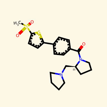 CS(=O)(=O)c1ccc(-c2ccc(C(=O)N3CCC[C@H]3CN3CCCC3)cc2)s1